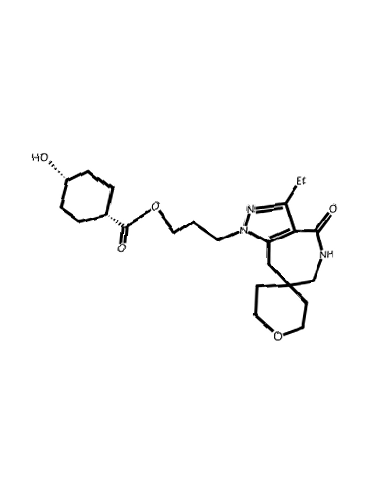 CCc1nn(CCCOC(=O)[C@H]2CC[C@@H](O)CC2)c2c1C(=O)NCC1(CCOCC1)C2